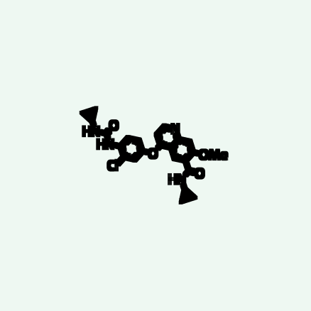 COc1cc2nccc(Oc3ccc(NC(=O)NC4CC4)c(Cl)c3)c2cc1C(=O)NC1CC1